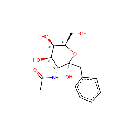 CC(=O)N[C@@H]1[C@@H](O)[C@@H](O)[C@@H](CO)O[C@@]1(O)Cc1ccccc1